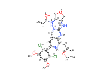 C=CC(O)N[C@H]1COC[C@H]1Nc1ncc2cc(-c3c(Cl)c(OC)cc(OC)c3Cl)nc(CC3CCCO3)c2n1